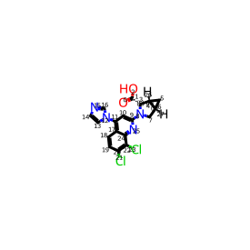 O=C(O)[C@@H]1[C@@H]2C[C@@H]2CN1c1cc(-n2ccnc2)c2ccc(Cl)c(Cl)c2n1